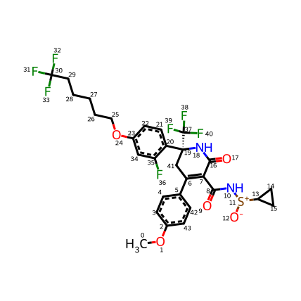 COc1ccc(C2=C(C(=O)N[S+]([O-])C3CC3)C(=O)N[C@@](c3ccc(OCCCCCC(F)(F)F)cc3F)(C(F)(F)F)C2)cc1